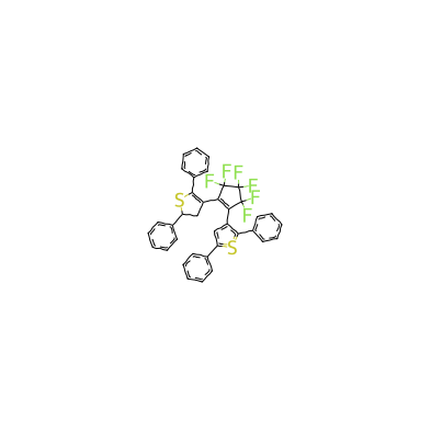 FC1(F)C(C2=C(c3ccccc3)SC(c3ccccc3)C2)=C(c2cc(-c3ccccc3)sc2-c2ccccc2)C(F)(F)C1(F)F